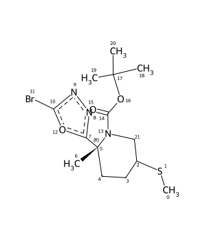 CSC1CC[C@](C)(c2nnc(Br)o2)N(C(=O)OC(C)(C)C)C1